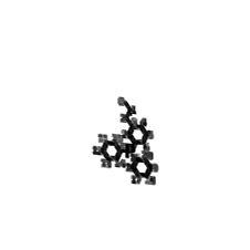 C[CH]Cc1cccc(P(c2ccccc2)c2ccccc2)c1